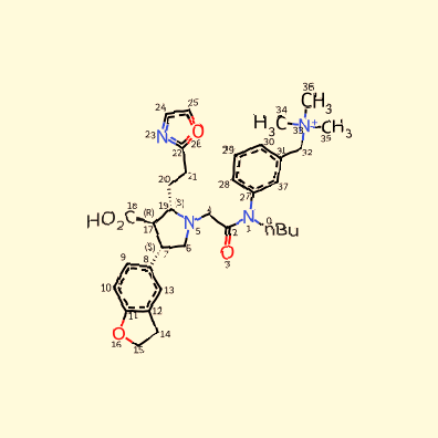 CCCCN(C(=O)CN1C[C@H](c2ccc3c(c2)CCO3)[C@@H](C(=O)O)[C@@H]1CCc1ncco1)c1cccc(C[N+](C)(C)C)c1